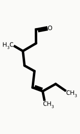 CC/C(C)=C\CCC(C)CC=O